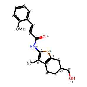 COc1ccccc1C=CC(=O)Nc1sc2c(c1C#N)CCC(CO)C2